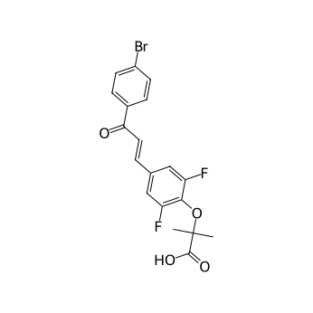 CC(C)(Oc1c(F)cc(C=CC(=O)c2ccc(Br)cc2)cc1F)C(=O)O